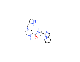 Cc1cccn2c(C(C)(C)NC(=O)[C@@H]3CN(Cc4ccn(C)n4)CCN3)ncc12